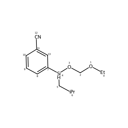 CCOCO[SiH](CC(C)C)c1cccc(C#N)c1